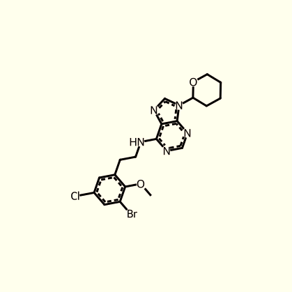 COc1c(Br)cc(Cl)cc1CCNc1ncnc2c1ncn2C1CCCCO1